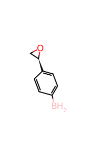 Bc1ccc([C@H]2CO2)cc1